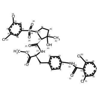 COC(=O)[C@H](Cc1ccc(NC(=O)c2c(Cl)cncc2Cl)cc1)NC(=O)[C@@H]1N(S(=O)(=O)c2cc(Cl)cc(Cl)c2)CCC1(C)O